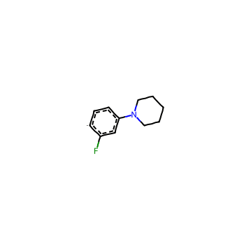 Fc1[c]ccc(N2CCCCC2)c1